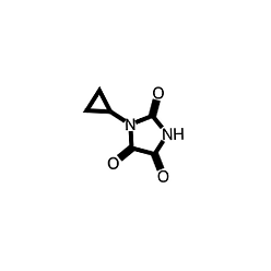 O=C1NC(=O)N(C2CC2)C1=O